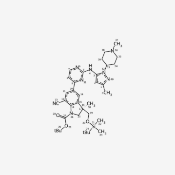 Cc1cc(Nc2nccc(-c3cc(C#N)c4c(c3)[C@@](C)(CO[Si](C)(C)C(C)(C)C)CN4C(=O)OC(C)(C)C)n2)n(C2CCN(C)CC2)n1